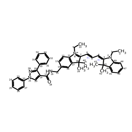 CCN1/C(=C/C=C/C2=[N+](CC)c3ccc(CNC(=O)c4cn(-c5ccccc5)nc4-c4ccccc4)cc3C2(C)C)C(C)(C)c2ccccc21